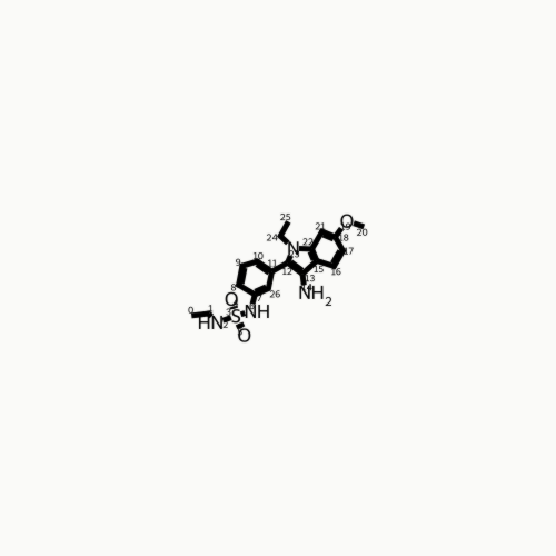 CCNS(=O)(=O)Nc1cccc(-c2c(N)c3ccc(OC)cc3n2CC)c1